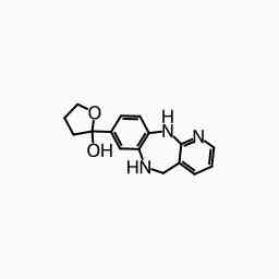 OC1(c2ccc3c(c2)NCc2cccnc2N3)CCCO1